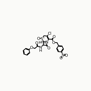 O=C(COc1ccccc1)NC1C(=O)N2C(C(=O)OCc3ccc([N+](=O)[O-])cc3)=C(Cl)C[S+]([O-])[C@@H]12